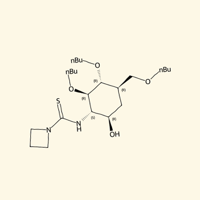 CCCCOC[C@H]1C[C@@H](O)[C@H](NC(=S)N2CCC2)[C@@H](OCCCC)[C@@H]1OCCCC